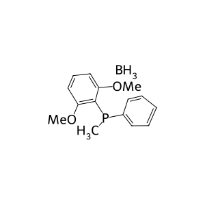 B.COc1cccc(OC)c1P(C)c1ccccc1